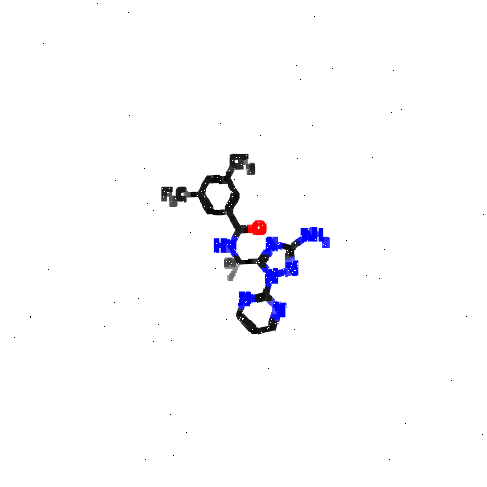 C[C@H](NC(=O)c1cc(C(F)(F)F)cc(C(F)(F)F)c1)c1nc(N)nn1-c1ncccn1